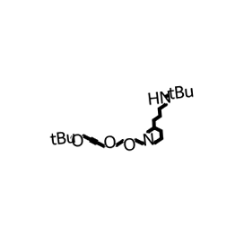 CC(C)(C)NCCCCC1CCCN(CCOCCOCC#CCOC(C)(C)C)C1